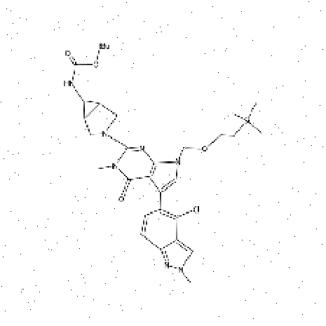 Cn1cc2c(Cl)c(-c3cn(COCC[Si](C)(C)C)c4nc(N5CC6C(C5)C6NC(=O)OC(C)(C)C)n(C)c(=O)c34)ccc2n1